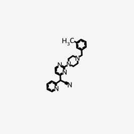 Cc1cccc(CN2CCN(c3nccc(C(C#N)c4ccccn4)n3)CC2)c1